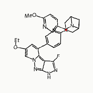 CCOc1cc(-c2ccc(N3CC4CC(C3)N4Cc3ccc(OC)nc3)nc2)c2c3c(F)n[nH]c3nn2c1